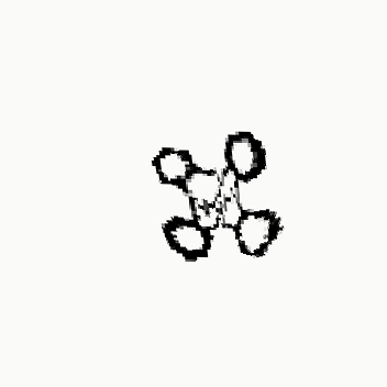 c1ccc(N2c3ccccc3N(c3ccccc3)[Si]23N(c2ccccc2)c2ccccc2N3c2ccccc2)cc1